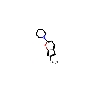 O=C(O)c1cc2ccc(N3CCCCC3)oc-2c1